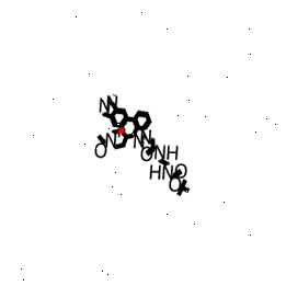 CC(=O)N1CCC(c2nn(CC(=O)NCCNC(=O)OC(C)(C)C)c3cccc(-c4cc5c(cnn5C)cc4F)c23)CC1